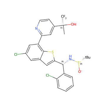 CC(C)(C)[S@+]([O-])N[C@@H](c1cc2cc(Cl)cc(-c3cc([C@](C)(O)C(F)(F)F)ccn3)c2s1)c1ccccc1Cl